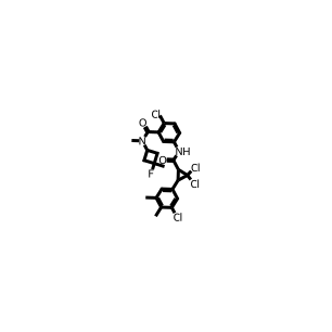 Cc1cc(C2C(C(=O)Nc3ccc(Cl)c(C(=O)N(C)C4CC(C)(F)C4)c3)C2(Cl)Cl)cc(Cl)c1C